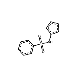 O=S(=O)(Nn1cccc1)c1ccccc1